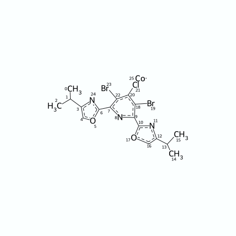 CC(C)c1coc(-c2nc(-c3nc(C(C)C)co3)c(Br)c(Cl)c2Br)n1.[Co]